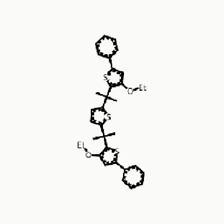 CCOc1cc(-c2ccccc2)sc1C(C)(C)c1ccc(C(C)(C)c2sc(-c3ccccc3)cc2OCC)s1